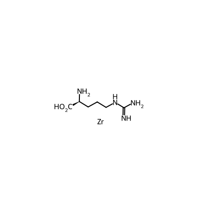 N=C(N)NCCC[C@H](N)C(=O)O.[Zr]